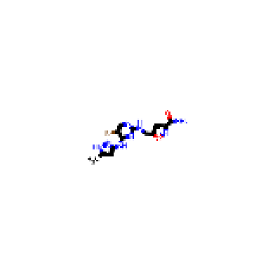 Cc1cc(Nc2nc(NCc3cc(C(N)=O)no3)ncc2Br)n[nH]1